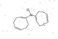 [Cl][Ni]([C]1=CCCC=CCC1)[C]1=CCCC=CCC1